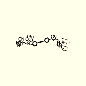 C[C@H](OC1CCCCO1)c1nccn1Cc1cc(-c2ccc(C#Cc3ccc(CN(CCn4cnnc4C#N)C(=O)OC(C)(C)C)cc3)cc2)on1